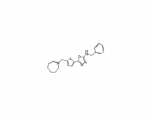 c1ccc(CNc2nnc(-c3ccc(CN4CCCCCC4)s3)o2)cc1